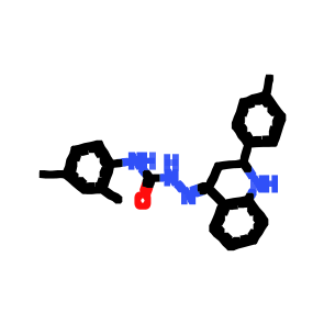 Cc1ccc(C2CC(=NNC(=O)Nc3ccc(C)cc3C)c3ccccc3N2)cc1